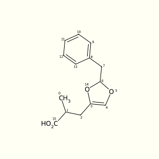 CC(CC1=COC(Cc2ccccc2)O1)C(=O)O